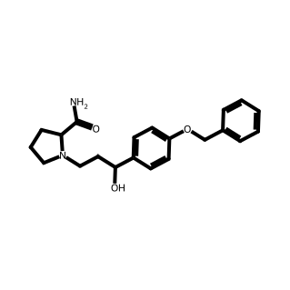 NC(=O)C1CCCN1C[CH]C(O)c1ccc(OCc2ccccc2)cc1